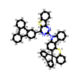 c1ccc2c(c1)Sc1c(ccc3c1c1ccccc1n3-c1nc(-c3ccc4c5ccccc5c5ccccc5c4c3)c3sc4ccccc4c3n1)C21c2ccccc2-c2ccccc21